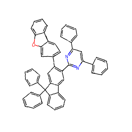 c1ccc(-c2cc(-c3ccccc3)nc(-c3cc4c(cc3-c3ccc5c(c3)oc3ccccc35)C(c3ccccc3)(c3ccccc3)c3ccccc3-4)n2)cc1